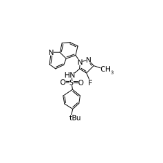 Cc1nn(-c2cccc3ncccc23)c(NS(=O)(=O)c2ccc(C(C)(C)C)cc2)c1F